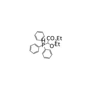 CCOC(=O)C(OCC)[PH](c1ccccc1)(c1ccccc1)c1ccccc1